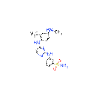 CNc1ccc(Nc2ccnc(Nc3cccc(S(N)(=O)=O)c3)n2)c(C)c1